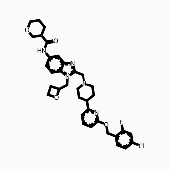 O=C(Nc1ccc2c(c1)nc(CN1CCC(c3cccc(OCc4ccc(Cl)cc4F)n3)CC1)n2CC1CCO1)C1CCCOC1